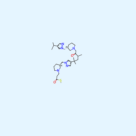 CSC(=O)CCN1CCC[C@@H](Cn2cc(C(C)(C)CC(C)C(=O)CN3CCC[C@@H](Cn4cc(C(C)C)cn4)C3)cn2)C1